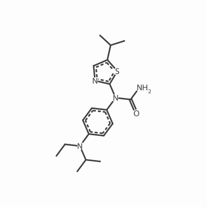 CCN(c1ccc(N(C(N)=O)c2ncc(C(C)C)s2)cc1)C(C)C